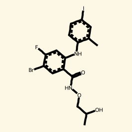 Cc1cc(I)ccc1Nc1cc(F)c(Br)cc1C(=O)NOCC(C)O